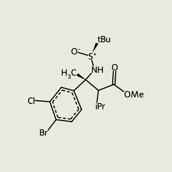 COC(=O)C(C(C)C)[C@@](C)(N[S@@+]([O-])C(C)(C)C)c1ccc(Br)c(Cl)c1